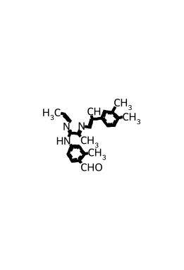 C\C=C/N=C(Nc1ccc(C=O)c(C)c1)\C(C)=N\C=C(/C)c1ccc(C)c(C)c1